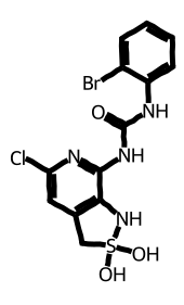 O=C(Nc1ccccc1Br)Nc1nc(Cl)cc2c1NS(O)(O)C2